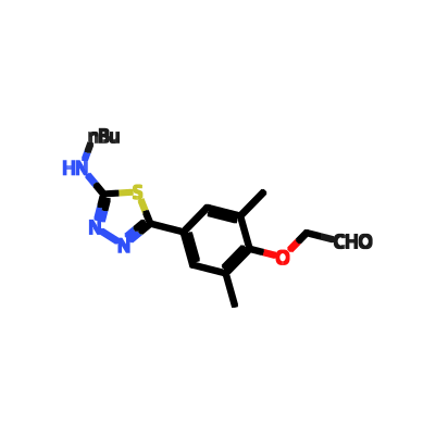 CCCCNc1nnc(-c2cc(C)c(OCC=O)c(C)c2)s1